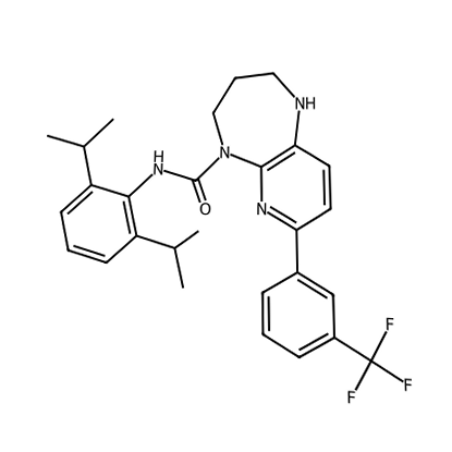 CC(C)c1cccc(C(C)C)c1NC(=O)N1CCCNc2ccc(-c3cccc(C(F)(F)F)c3)nc21